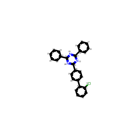 Clc1ccccc1-c1ccc(-c2nc(-c3ccccc3)nc(-c3ccccc3)n2)cc1